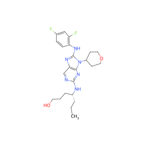 CCC[C@H](CCCO)Nc1ncc2nc(Nc3ccc(F)cc3F)n(C3CCOCC3)c2n1